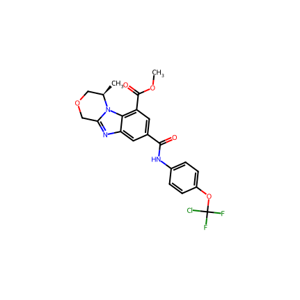 COC(=O)c1cc(C(=O)Nc2ccc(OC(F)(F)Cl)cc2)cc2nc3n(c12)[C@H](C)COC3